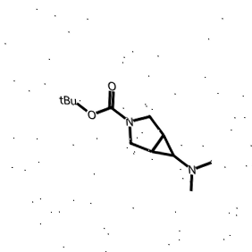 CN(C)C1C2CN(C(=O)OC(C)(C)C)CC21